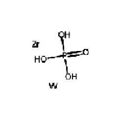 O=P(O)(O)O.[W].[Zr]